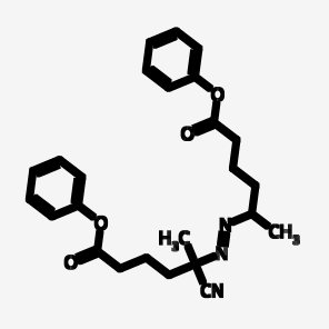 CC(CCCC(=O)Oc1ccccc1)N=NC(C)(C#N)CCCC(=O)Oc1ccccc1